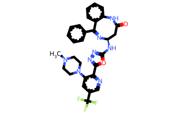 CN1CCN(c2cc(C(F)(F)F)cnc2-c2nnc(N[C@@H]3CC(=O)Nc4ccccc4/C(c4ccccc4)=N\3)o2)CC1